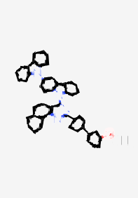 COc1cccc(-c2ccc(-c3nc(-n4c5ccccc5c5cc(-n6c7ccccc7c7ccccc76)ccc54)c4ccc5ccccc5c4n3)cc2)c1